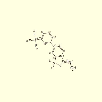 CC1(C)C/C(=N\O)c2ccc(-c3cccc(C(F)(F)F)c3)cc21